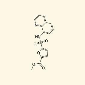 COC(=O)c1ccc(S(=O)(=O)Nc2cccc3cccnc23)o1